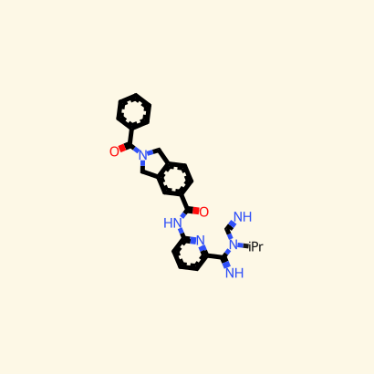 CC(C)N(C=N)C(=N)c1cccc(NC(=O)c2ccc3c(c2)CN(C(=O)c2ccccc2)C3)n1